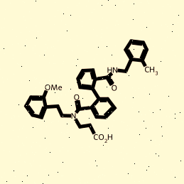 COc1ccccc1CCN(CCC(=O)O)C(=O)c1ccccc1-c1ccccc1C(=O)NCc1ccccc1C